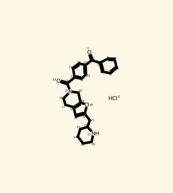 Cl.O=C(c1ccccc1)c1ccc(C(=O)N2CCc3cc(CC4CCCCN4)oc3C2)cc1